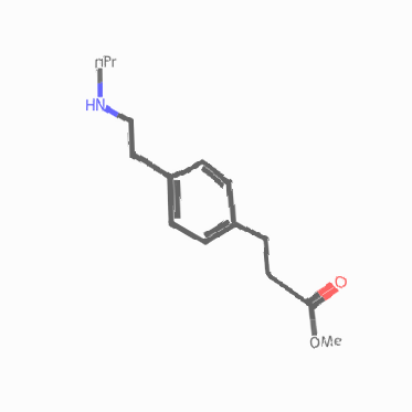 CCCNCCc1ccc(CCC(=O)OC)cc1